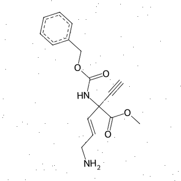 C#CC(C=CCN)(NC(=O)OCc1ccccc1)C(=O)OC